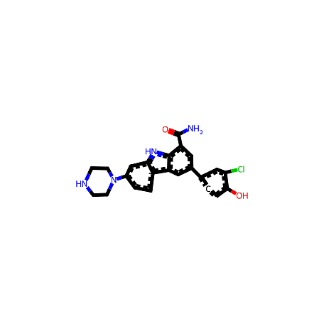 NC(=O)c1cc(-c2ccc(O)c(Cl)c2)cc2c1[nH]c1cc(N3CCNCC3)ccc12